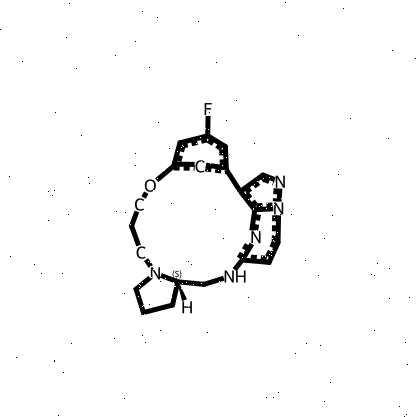 Fc1cc2cc(c1)-c1cnn3ccc(nc13)NC[C@@H]1CCCN1CCCO2